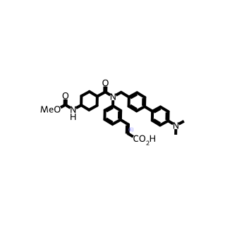 COC(=O)NC1CCC(C(=O)N(Cc2ccc(-c3ccc(N(C)C)cc3)cc2)c2cccc(/C=C/C(=O)O)c2)CC1